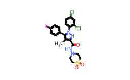 Cc1c(C(=O)NN2CCS(=O)(=O)CC2)nn(-c2ccc(Cl)cc2Cl)c1-c1ccc(I)cc1